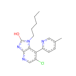 CCCCCn1c(O)nc2ncc(Cl)c(-c3ccc(C)cn3)c21